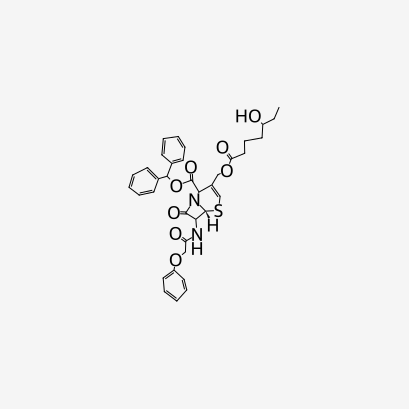 CCC(O)CCCC(=O)OCC1=CS[C@@H]2C(NC(=O)COc3ccccc3)C(=O)N2C1C(=O)OC(c1ccccc1)c1ccccc1